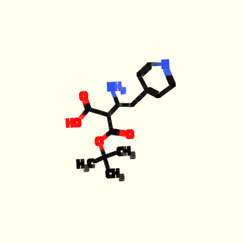 CC(C)(C)OC(=O)C(C(=O)O)C(N)Cc1ccncc1